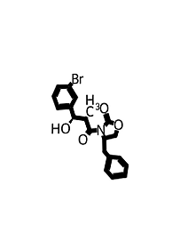 C[C@@H](C(=O)N1C(=O)OCC1Cc1ccccc1)[C@@H](O)c1cccc(Br)c1